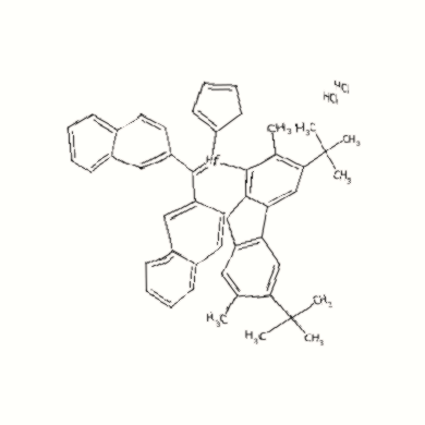 Cc1cc2c(cc1C(C)(C)C)-c1cc(C(C)(C)C)c(C)[c]([Hf]([C]3=CC=CC3)=[C](c3ccc4ccccc4c3)c3ccc4ccccc4c3)c1C2.Cl.Cl